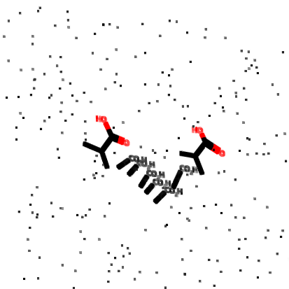 CC(=O)O.CC(=O)O.CC(=O)O.CC(=O)O.CC(=O)O.CC(=O)O.CC(C)C(=O)O.CC(C)C(=O)O